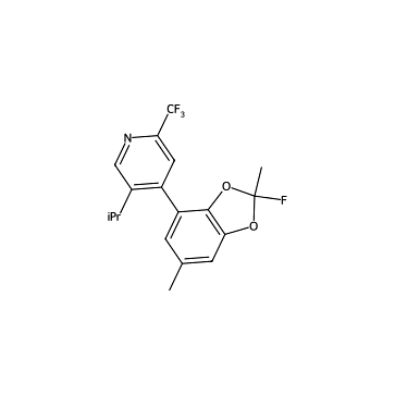 Cc1cc2c(c(-c3cc(C(F)(F)F)ncc3C(C)C)c1)OC(C)(F)O2